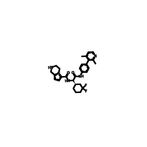 Cc1ccnc(C)c1-c1ccc(NC(=O)C(NC(=O)c2ccc3n2CCNC3)[C@H]2CCCC(F)(F)C2)cc1